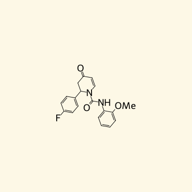 COc1ccccc1NC(=O)N1C=CC(=O)CC1c1ccc(F)cc1